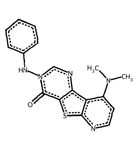 CN(C)c1ccnc2sc3c(=O)n(Nc4ccccc4)cnc3c12